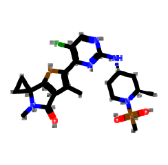 Cc1c(-c2nc(N[C@H]3CCN(S(C)(=O)=O)[C@H](C)C3)ncc2F)sc2c1C(=O)N(C)C21CC1